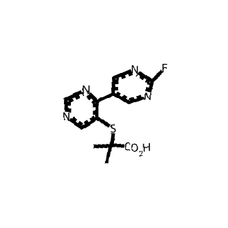 CC(C)(Sc1cncnc1-c1cnc(F)nc1)C(=O)O